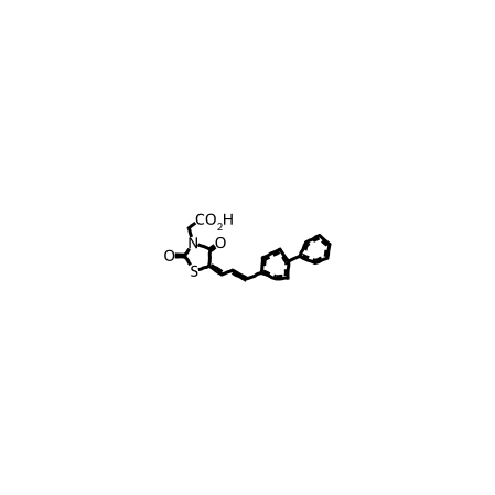 O=C(O)CN1C(=O)SC(=CC=Cc2ccc(-c3ccccc3)cc2)C1=O